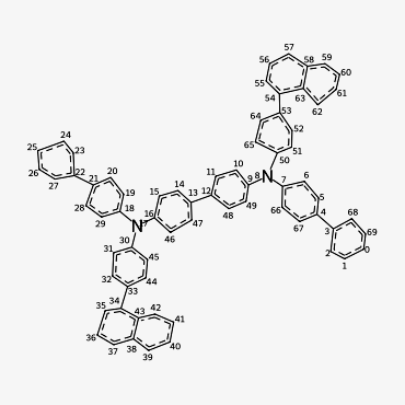 c1ccc(-c2ccc(N(c3ccc(-c4ccc(N(c5ccc(-c6ccccc6)cc5)c5ccc(-c6cccc7ccccc67)cc5)cc4)cc3)c3ccc(-c4cccc5ccccc45)cc3)cc2)cc1